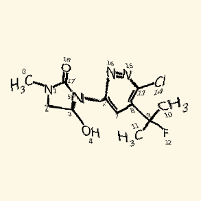 CN1CC(O)N(c2cc(C(C)(C)F)c(Cl)nn2)C1=O